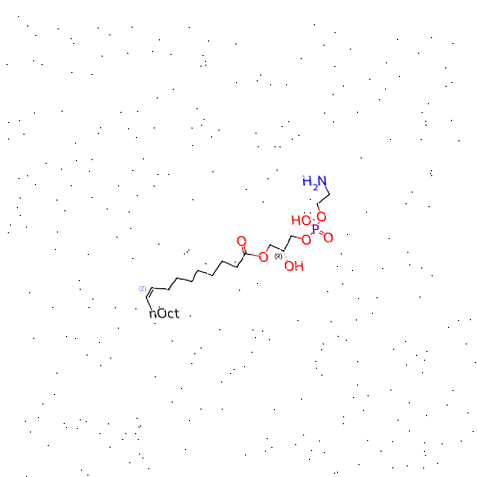 CCCCCCCC/C=C\CCCCCCCC(=O)OC[C@@H](O)COP(=O)(O)OCCN